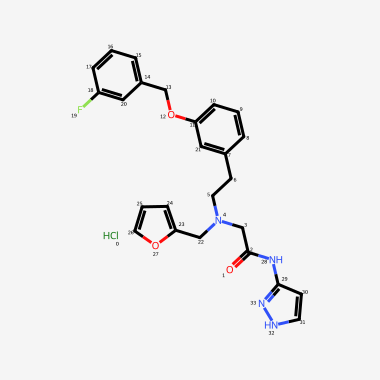 Cl.O=C(CN(CCc1cccc(OCc2cccc(F)c2)c1)Cc1ccco1)Nc1cc[nH]n1